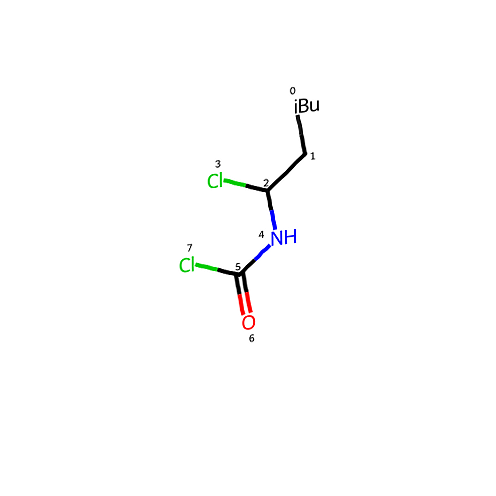 CCC(C)CC(Cl)NC(=O)Cl